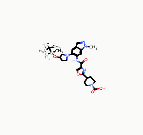 Cn1ncc2cc(N3CCC(O[Si](C)(C)C(C)(C)C)C3)c(NC(=O)c3coc(C4CCN(C(=O)O)CC4)n3)cc21